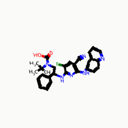 CC(C)(C)N(CC(Nc1nc(Nc2ccc3ncccc3c2)c(C#N)cc1F)c1ccccc1)C(=O)O